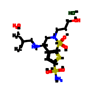 CC(C)CN[C@H]1CN(CCCO)S(=O)(=O)c2sc(S(N)(=O)=O)cc21.Cl.O